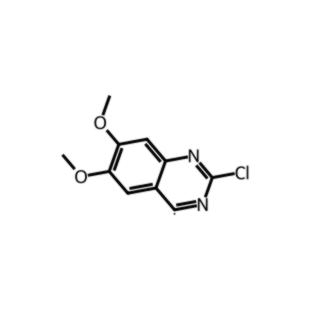 COc1cc2[c]nc(Cl)nc2cc1OC